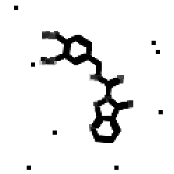 COc1ccc(CNC(=O)n2sc3ncccc3c2=O)cc1OC